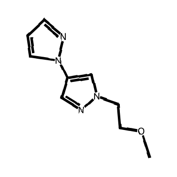 COCCn1cc(-n2cccn2)cn1